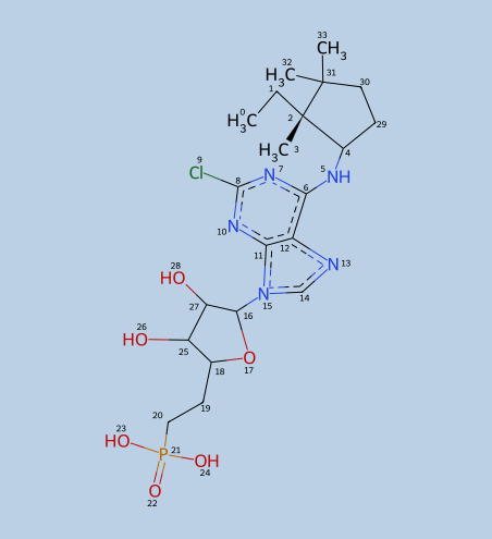 CC[C@@]1(C)C(Nc2nc(Cl)nc3c2ncn3C2OC(CCP(=O)(O)O)C(O)C2O)CCC1(C)C